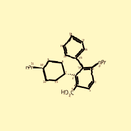 CCCc1ccc(C(=O)O)c([C@H]2CC[C@H](CCC)CC2)c1-c1ccccc1